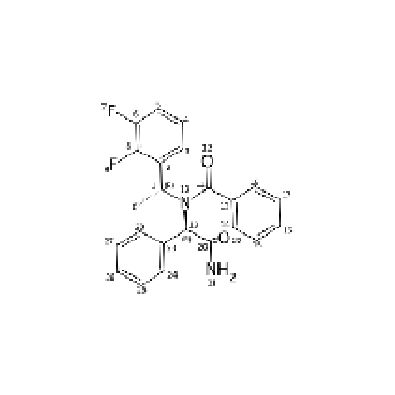 C[C@H](c1cccc(F)c1F)N(C(=O)c1ccccc1)[C@@H](C(N)=O)c1ccccc1